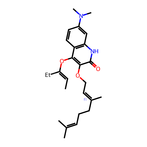 CC=C(CC)Oc1c(OC/C=C(\C)CCC=C(C)C)c(=O)[nH]c2cc(N(C)C)ccc12